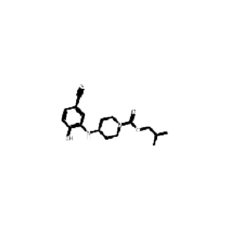 CC(C)COC(=O)N1CCC(Nc2cc(C#N)ccc2O)CC1